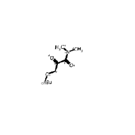 CCCCOCC(=O)C(=O)N(C)C